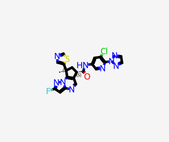 C[C@]1(c2cncs2)C[C@H](C(=O)Nc2cnc(-n3nccn3)c(Cl)c2)c2cnc3cc(F)nn3c21